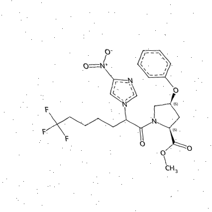 COC(=O)[C@@H]1C[C@H](Oc2ccccc2)CN1C(=O)C(CCCCC(F)(F)F)n1cnc([N+](=O)[O-])c1